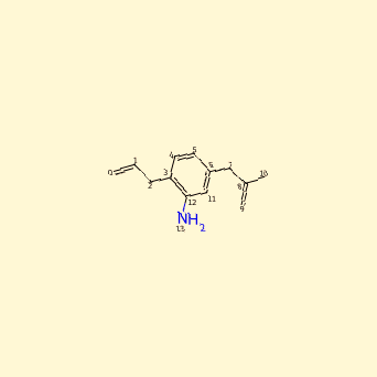 C=CCc1ccc(CC(=C)C)cc1N